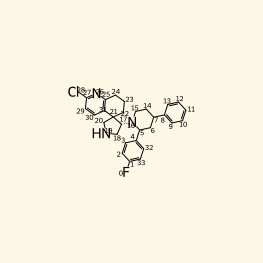 Fc1ccc(C2CC(c3ccccc3)CCN2[C@@H]2CNCC23CCCc2nc(Cl)ccc23)cc1